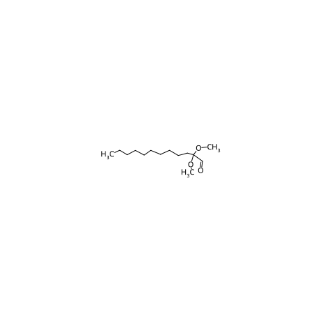 CCCCCCCCCCC(C=O)(OC)OC